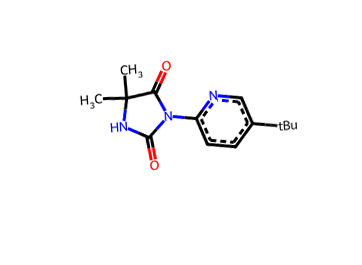 CC1(C)NC(=O)N(c2ccc(C(C)(C)C)cn2)C1=O